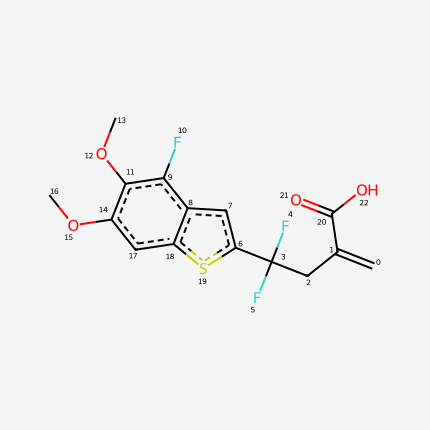 C=C(CC(F)(F)c1cc2c(F)c(OC)c(OC)cc2s1)C(=O)O